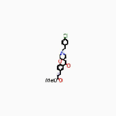 COC(=O)/C=C/c1ccc2c(c1)C(=O)CC1(CCN(CCc3ccc(Cl)cc3)CC1)O2